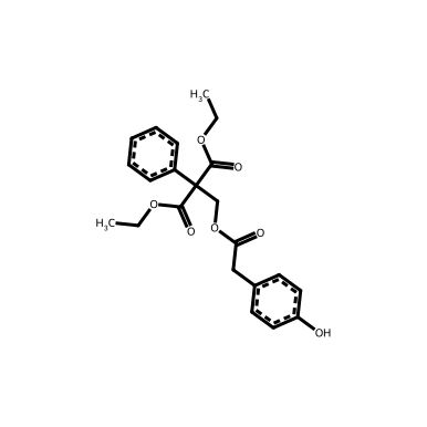 CCOC(=O)C(COC(=O)Cc1ccc(O)cc1)(C(=O)OCC)c1ccccc1